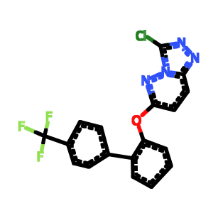 FC(F)(F)c1ccc(-c2ccccc2Oc2ccc3nnc(Cl)n3n2)cc1